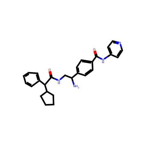 NC(CNC(=O)C(c1ccccc1)C1CCCC1)c1ccc(C(=O)Nc2ccncc2)cc1